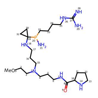 COCCN(CCCNC(=O)C1CCCN1)CCCNC1(P(N)CCCCNC(=N)N)CC1